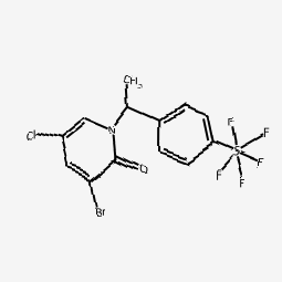 CC(c1ccc(S(F)(F)(F)(F)F)cc1)n1cc(Cl)cc(Br)c1=O